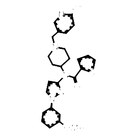 COc1cccc(-n2ccc(N(C(=O)c3cccs3)C3CCN(Cc4ccc(C(F)(F)F)nc4)CC3)n2)c1